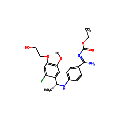 CCOC(=O)[C@@H](Nc1ccc(/C(N)=N/C(=O)OCC(Cl)(Cl)Cl)cc1)c1cc(OCC)c(OCCO)cc1F